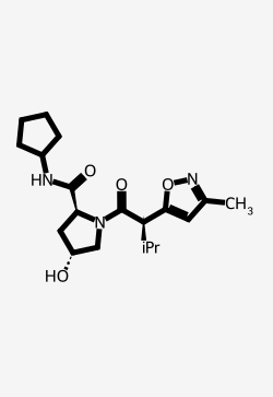 Cc1cc([C@H](C(=O)N2C[C@H](O)C[C@H]2C(=O)NC2CCCC2)C(C)C)on1